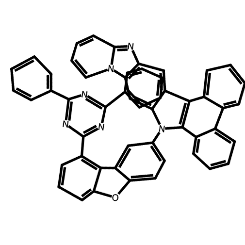 c1ccc(-c2nc(-c3ccccc3)nc(-c3cccc4oc5ccc(-n6c7cc8c(cc7c7c9ccccc9c9ccccc9c76)nc6ccccn68)cc5c34)n2)cc1